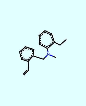 C=Cc1ccccc1CN(C)c1ccccc1CC